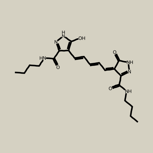 CCCCNC(=O)C1=NNC(=O)/C1=C\C=CC=Cc1c(C(=O)NCCCC)n[nH]c1O